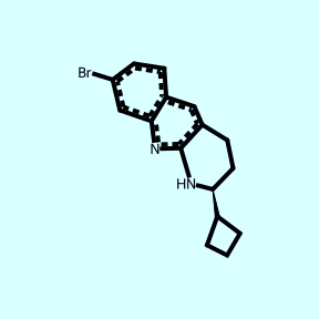 Brc1ccc2cc3c(nc2c1)N[C@H](C1CCC1)CC3